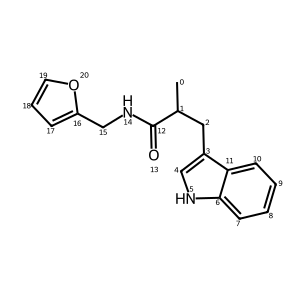 CC(Cc1c[nH]c2ccccc12)C(=O)NCc1ccco1